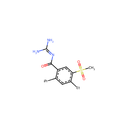 CCc1cc(C(C)C)c(C(=O)N=C(N)N)cc1S(C)(=O)=O